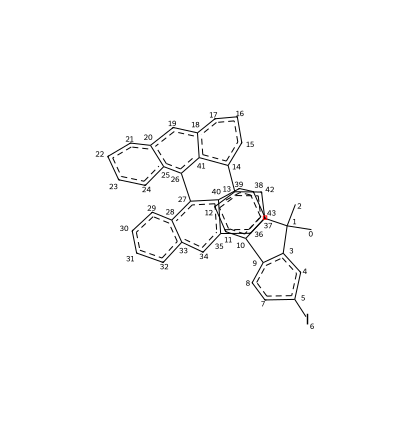 CC1(C)c2cc(I)ccc2-c2ccc(-c3cccc4cc5ccccc5c(-c5c6ccccc6cc6ccccc56)c34)cc21